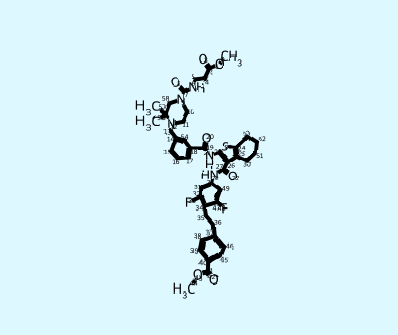 COC(=O)CCNC(=O)N1CCN(Cc2cccc(C(=O)Nc3sc4c(c3C(=O)Nc3cc(F)c(CCc5ccc(C(=O)OC)cc5)c(F)c3)CCCC4)c2)C(C)(C)C1